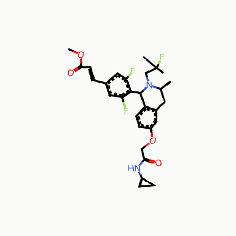 COC(=O)/C=C/c1cc(F)c(C2c3ccc(OCC(=O)NC4CC4)cc3CC(C)N2CC(C)(C)F)c(F)c1